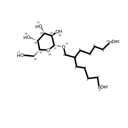 CCCCCCCCCCCCCCC(CCCCCCCCCCCCCC)CO[C@@H]1O[C@H](CO)[C@H](O)[C@H](O)[C@H]1O